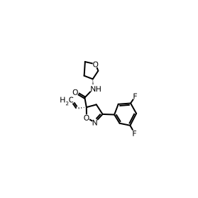 C=C[C@]1(C(=O)N[C@@H]2CCOC2)CC(c2cc(F)cc(F)c2)=NO1